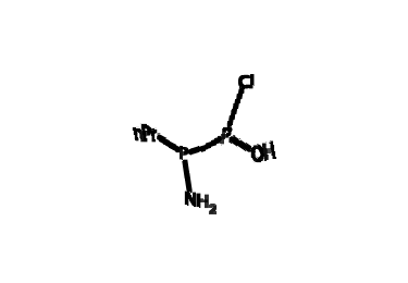 CCCP(N)P(O)Cl